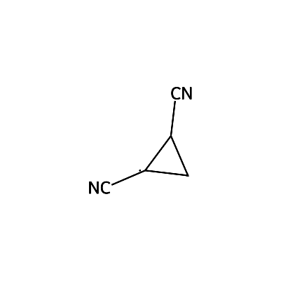 N#C[C]1CC1C#N